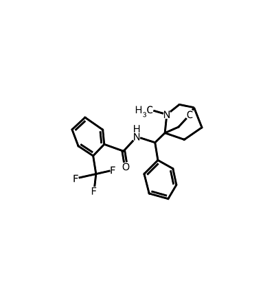 CN1CC2CCC1(C(NC(=O)c1ccccc1C(F)(F)F)c1ccccc1)CC2